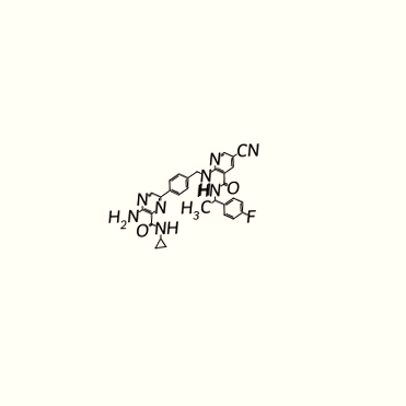 CC(NC(=O)c1cc(C#N)cnc1NCc1ccc(-c2cnc(N)c(C(=O)NC3CC3)n2)cc1)c1ccc(F)cc1